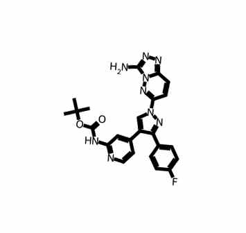 CC(C)(C)OC(=O)Nc1cc(-c2cn(-c3ccc4nnc(N)n4n3)nc2-c2ccc(F)cc2)ccn1